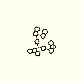 c1ccc2c(-c3c(-c4ccc(N(c5ccc(-c6cccc7oc8ccccc8c67)cc5)c5cc6ccccc6c6ccccc56)cc4)ccc4ccccc34)cccc2c1